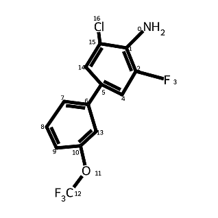 Nc1c(F)cc(-c2cccc(OC(F)(F)F)c2)cc1Cl